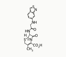 CC1=C(C(=O)O)N2C(=O)C(NC(=O)CNc3ccc4csnc4c3)[C@@H]2SC1